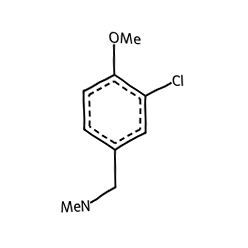 CNCc1ccc(OC)c(Cl)c1